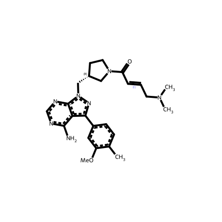 COc1cc(-c2nn(C[C@@H]3CCN(C(=O)/C=C/CN(C)C)C3)c3ncnc(N)c23)ccc1C